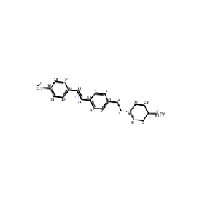 CCC[C@H]1CC[C@H](CCc2ccc(/C=C/c3ccc(CC)cc3)cc2)CC1